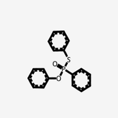 O=P(Oc1ccccc1)(Sc1ccccc1)c1ccccc1